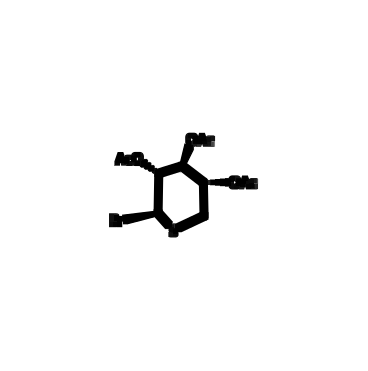 CC(=O)O[C@@H]1[C@@H](OC(C)=O)[C@H](OC(C)=O)CS[C@H]1Br